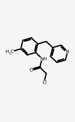 Cc1ccc(Cc2cccnc2)c(NC(=O)CCl)c1